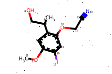 COc1cc(C(C)CO)c(OCC#N)cc1I